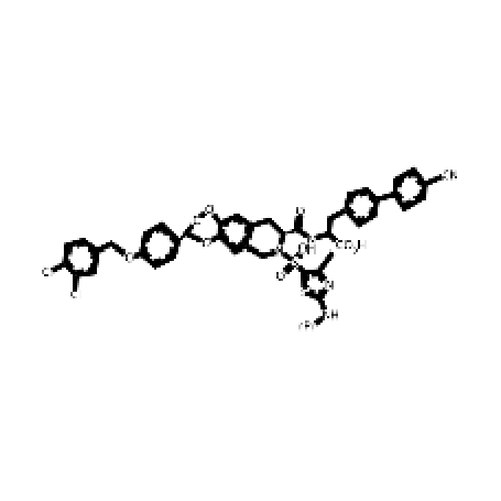 CCCNc1nc(C)c(S(=O)(=O)N2Cc3cc4c(cc3C[C@H]2C(=O)NC(Cc2ccc(-c3ccc(C#N)cc3)cc2)C(=O)O)OC[C@H](c2ccc(OCc3ccc(Cl)c(Cl)c3)cc2)O4)s1